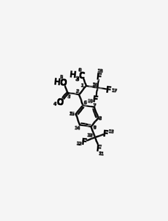 CC(C(C(=O)O)c1ccc(C(F)(F)F)cc1)C(F)(F)F